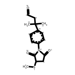 CSC1CC(=O)N(c2ccc(C(C)(C)CC=O)cc2)C1=O